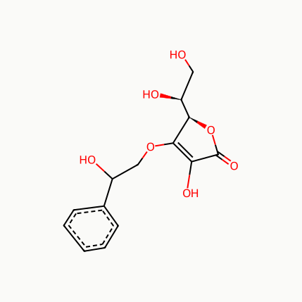 O=C1O[C@H]([C@@H](O)CO)C(OCC(O)c2ccccc2)=C1O